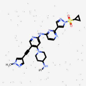 CC(C)NC1CCN(c2cc(Nc3ccnc(-c4cnn(S(=O)(=O)C5CC5)c4)n3)ncc2C#Cc2cnn(C)c2)CC1